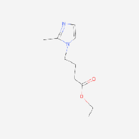 CCOC(=O)CCCn1ccnc1C